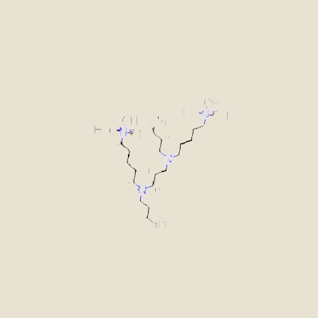 CC(C)CCCN(CCCCC[N+](C)(C)C)CCCN(CCCCC[N+](C)(C)C)CCCC(C)C